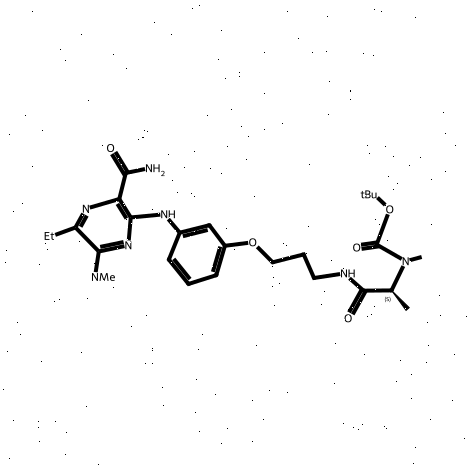 CCc1nc(C(N)=O)c(Nc2cccc(OCCCNC(=O)[C@H](C)N(C)C(=O)OC(C)(C)C)c2)nc1NC